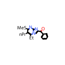 CCCc1c(SC)nc2nc(C(=O)c3ccccc3)cn2c1CC